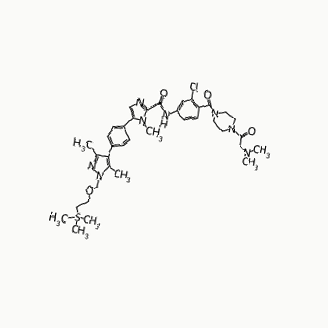 Cc1nn(COCCS(C)(C)C)c(C)c1-c1ccc(-c2cnc(C(=O)Nc3ccc(C(=O)N4CCN(C(=O)CN(C)C)CC4)c(Cl)c3)n2C)cc1